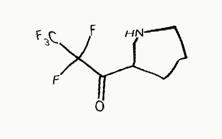 O=C(C1CCCN1)C(F)(F)C(F)(F)F